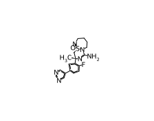 C[C@@]1(c2cc(-c3cncnc3)ccc2F)C[S@@]2(=O)=NCCCCN2C(N)=N1